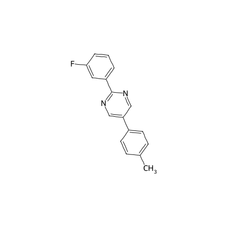 Cc1ccc(-c2cnc(-c3cccc(F)c3)nc2)cc1